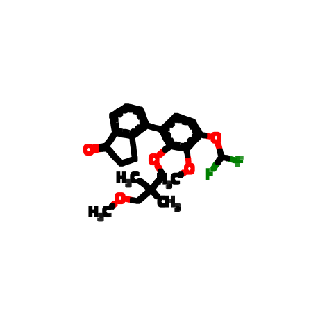 COCC(C)(C)COc1c(-c2cccc3c2CCC3=O)ccc(OC(F)F)c1OC